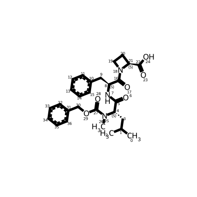 CC(C)C[C@@H](C(=O)N[C@@H](Cc1ccccc1)C(=O)N1CC[C@H]1C(=O)O)N(C)C(=O)OCc1ccccc1